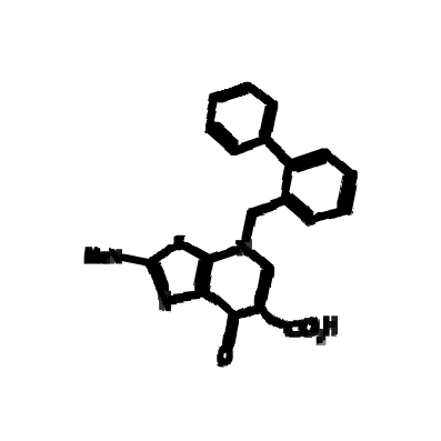 CNc1nc2c(=O)c(C(=O)O)cn(Cc3ccccc3-c3ccccc3)c2s1